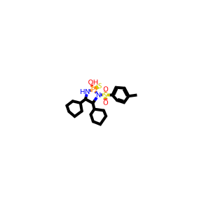 Cc1ccc(S(=O)(=O)N2C(C3CCCCC3)C(C3CCCCC3)NP2(O)=S)cc1